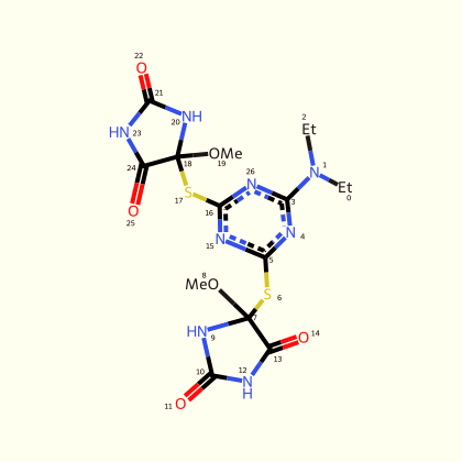 CCN(CC)c1nc(SC2(OC)NC(=O)NC2=O)nc(SC2(OC)NC(=O)NC2=O)n1